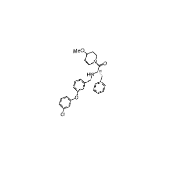 COC1CCN(C(=O)[C@H](Cc2ccccc2)NCc2cccc(Oc3cccc(Cl)c3)c2)CC1